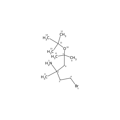 CC(N)(CCBr)CC(C)(C)OC(C)(C)C